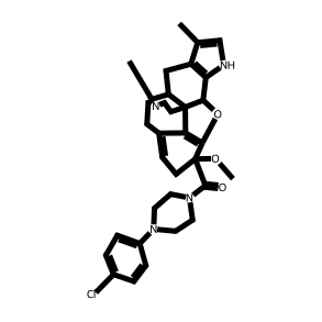 COC1(C(=O)N2CCN(c3ccc(Cl)cc3)CC2)CC=C2CC3C4Cc5c(C)c[nH]c5C5OC1=C2C54CCN3C